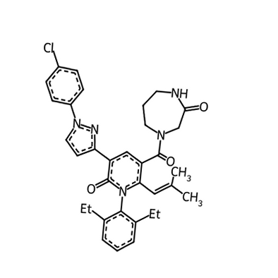 CCc1cccc(CC)c1-n1c(C=C(C)C)c(C(=O)N2CCCNC(=O)C2)cc(-c2ccn(-c3ccc(Cl)cc3)n2)c1=O